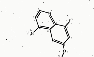 COc1cc(F)c2nccc(N)c2c1